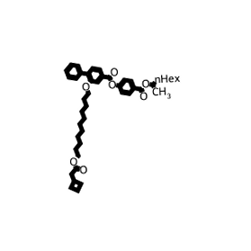 CCCCCCC(C)OC(=O)c1ccc(OC(=O)c2ccc(-c3ccccc3)c(OCCCCCCCCCCCOC(=O)CC3CCC3)c2)cc1